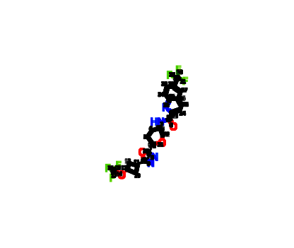 O=C(N[C@@H]1CC[C@@H](c2nnc([C@H]3C[C@@H](OC(F)(F)F)C3)o2)OC1)c1ccc2cc(C(F)(F)F)ccc2n1